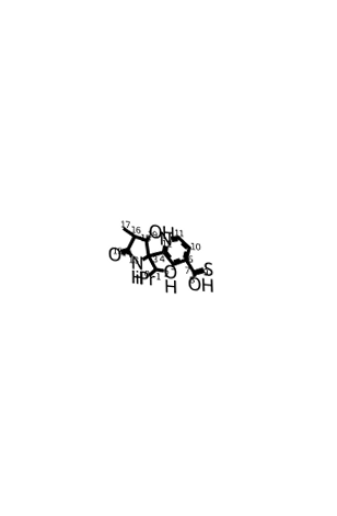 CC(C)C(O)C1(c2cc(C(O)=S)ccn2)NC(=O)C(C)C1O